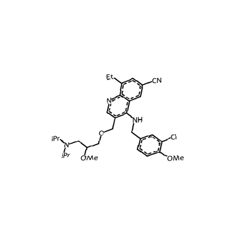 CCc1cc(C#N)cc2c(NCc3ccc(OC)c(Cl)c3)c(COCC(CN(C(C)C)C(C)C)OC)cnc12